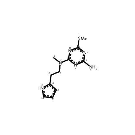 CNc1nc(N)nc(N(C)CCc2ccc[nH]2)n1